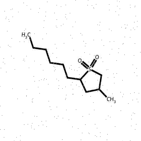 CCCCCCC1CC(C)CS1(=O)=O